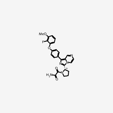 COc1cccc(Oc2ccc(-c3nc([C@@H]4CCCN4C(=O)C(N)=O)n4ccncc34)cc2)c1F